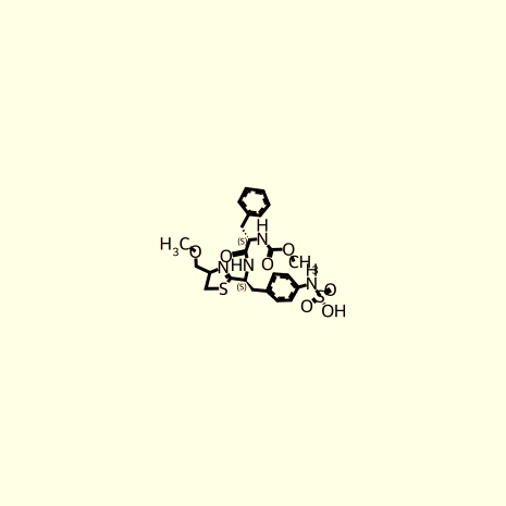 COCC1CSC([C@H](Cc2ccc(NS(=O)(=O)O)cc2)NC(=O)[C@H](Cc2ccccc2)NC(=O)OC)=N1